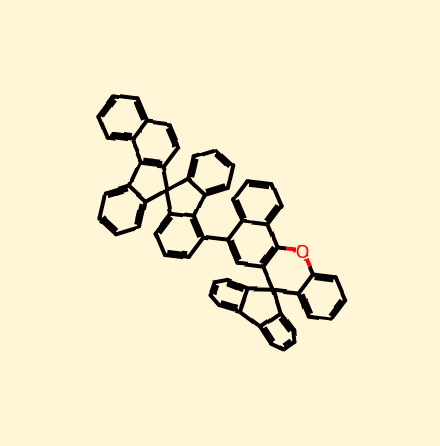 c1ccc2c(c1)Oc1c(cc(-c3cccc4c3-c3ccccc3C43c4ccccc4-c4c3ccc3ccccc43)c3ccccc13)C21c2ccccc2-c2ccccc21